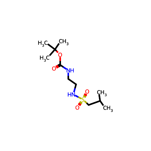 CC(C)CS(=O)(=O)NCCNC(=O)OC(C)(C)C